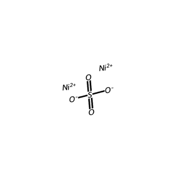 O=S(=O)([O-])[O-].[Ni+2].[Ni+2]